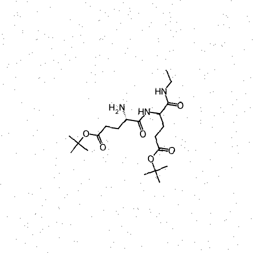 CCNC(=O)C(CCC(=O)OC(C)(C)C)NC(=O)[C@@H](N)CCC(=O)OC(C)(C)C